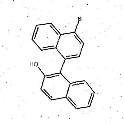 Oc1ccc2ccccc2c1-c1ccc(Br)c2ccccc12